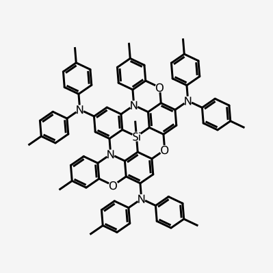 Cc1ccc(N(c2ccc(C)cc2)c2cc3c4c(c2)N2c5ccc(C)cc5Oc5c(N(c6ccc(C)cc6)c6ccc(C)cc6)cc6c(c52)[Si]4(C)c2c(cc(N(c4ccc(C)cc4)c4ccc(C)cc4)c4c2N3c2ccc(C)cc2O4)O6)cc1